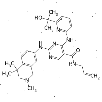 C=CCNC(=O)c1cnc(Nc2ccc3c(c2)CN(C)CC3(C)C)nc1Nc1cccc(C(C)(C)O)n1